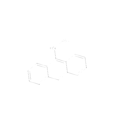 [CH2]CCCNc1c2ccccc2cc2ccccc12